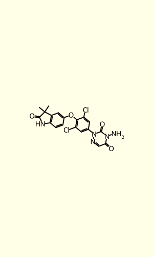 CC1(C)C(=O)Nc2ccc(Oc3c(Cl)cc(-n4ncc(=O)n(N)c4=O)cc3Cl)cc21